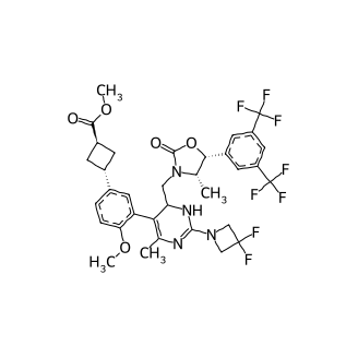 COc1ccc([C@H]2C[C@H](C(=O)OC)C2)cc1C1=C(C)N=C(N2CC(F)(F)C2)NC1CN1C(=O)O[C@H](c2cc(C(F)(F)F)cc(C(F)(F)F)c2)[C@@H]1C